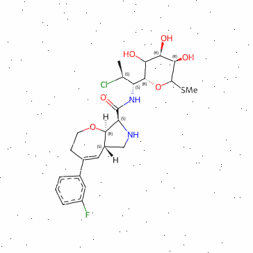 CSC1O[C@H]([C@H](NC(=O)[C@H]2NC[C@@H]3C=C(c4cccc(F)c4)CCO[C@@H]23)[C@H](C)Cl)C(O)[C@@H](O)[C@H]1O